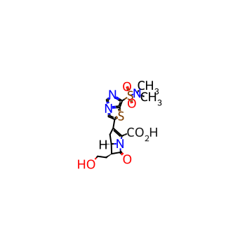 CN(C)S(=O)(=O)c1ncn2cc(C3=C(C(=O)O)N4C(=O)[C@@H](CCO)[C@H]4C3)sc12